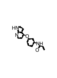 C=CC(=O)Nc1cccc(Oc2ccnc3[nH]ccc23)c1